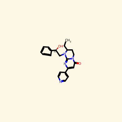 CCC1CCn2c(nc(-c3ccncc3)cc2=O)N1C[C@H](O)c1ccccc1